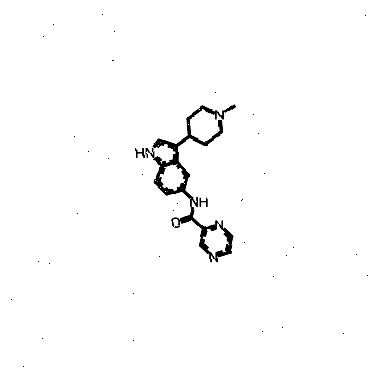 CN1CCC(c2c[nH]c3ccc(NC(=O)c4cnccn4)cc23)CC1